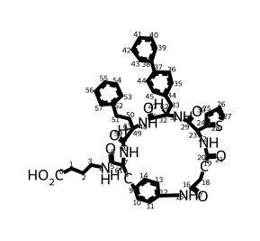 O=C(O)CCCNC(=O)[C@@H]1Cc2ccc(cc2)NC(=O)CCC(=O)NC(c2cccs2)C(=O)N[C@@H](Cc2ccc(-c3ccccc3)cc2)C(=O)N[C@H](CCc2ccccc2)C(=O)N1